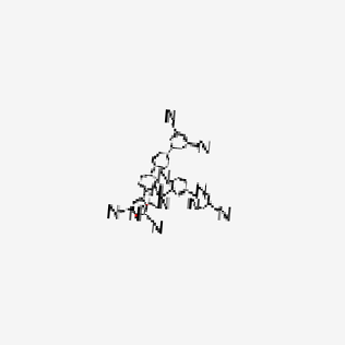 N#Cc1cnc(-c2ccc(-n3c4cc(-c5cc(C#N)cc(C#N)c5)ccc4c4ccc(-c5cc(C#N)cc(C#N)c5)cc43)c(-c3ncc(C#N)cn3)c2)nc1